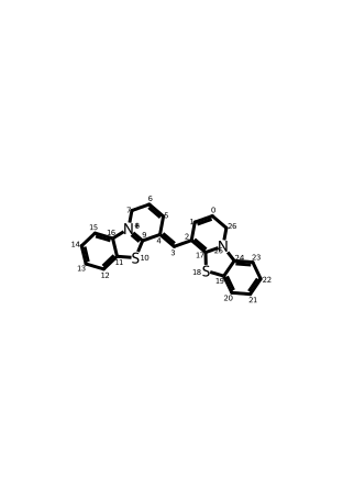 C1=CC(C=C2C=CC[n+]3c2sc2ccccc23)=C2Sc3ccccc3N2C1